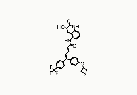 O=C(C=CC=C(c1ccc(OC2CSC2)cc1)c1ccc(C(F)(F)F)cc1)Nc1cccc2c1CC(O)C(=O)N2